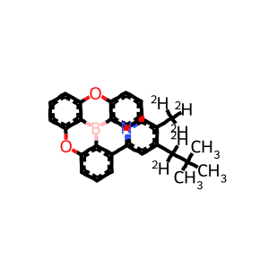 [2H]C([2H])([2H])c1cnc(-c2cccc3c2B2c4ccccc4Oc4cccc(c42)O3)cc1C([2H])([2H])C(C)(C)C